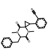 CN1C(=O)C2(CC2c2ccccc2C#N)N(C)C(=O)C1Cc1ccccc1